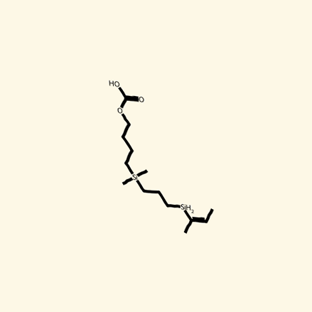 CC=C(C)[SiH2]CCC[Si](C)(C)CCCCOC(=O)O